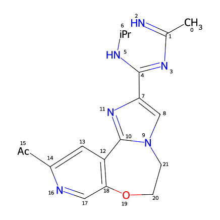 CC(=N)/N=C(\NC(C)C)c1cn2c(n1)-c1cc(C(C)=O)ncc1OCC2